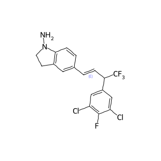 NN1CCc2cc(/C=C/C(c3cc(Cl)c(F)c(Cl)c3)C(F)(F)F)ccc21